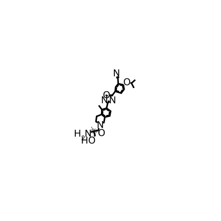 Cc1c(-c2noc(-c3ccc(OC(C)C)c(C#N)c3)n2)ccc2c1CCN(C(=O)[C@](C)(N)CO)C2